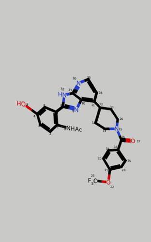 CC(=O)Nc1ccc(O)cc1-c1nc2c(C3CCN(C(=O)c4ccc(OC(F)(F)F)cc4)CC3)ccnc2[nH]1